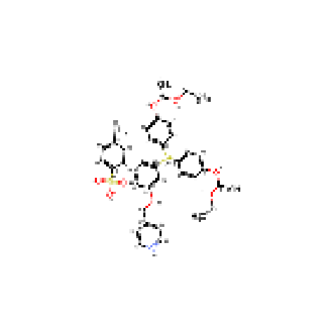 CCOC(C)Oc1ccc([S+](c2ccc(OC(C)OCC)cc2)c2cccc(OCc3ccncc3)c2)cc1.Cc1ccc(S(=O)(=O)[O-])cc1